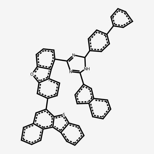 c1ccc(-c2ccc(C3N=C(c4cccc5oc6cc(-c7cc8ccccc8c8c7sc7ccccc78)ccc6c45)N=C(c4ccc5ccccc5c4)N3)cc2)cc1